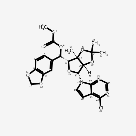 CSC(=S)OC(c1ccc2c(c1)OCO2)[C@H]1O[C@@H](n2ccc3c(Cl)ncnc32)[C@@H]2OC(C)(C)O[C@]12C